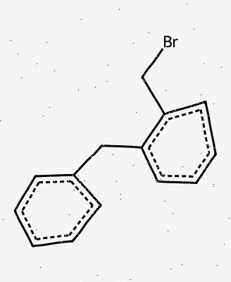 BrCc1ccccc1Cc1ccccc1